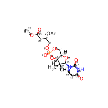 CC(=O)O[C@H](CO[P@@]1(=O)OC[C@H]2O[C@@H](n3ccc(=O)[nH]c3=O)C(C)(C)[C@@H]2O1)CC(=O)OC(C)C